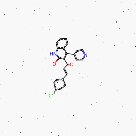 O=C(/C=C/c1ccc(Cl)cc1)c1c(-c2ccncc2)c2ccccc2[nH]c1=O